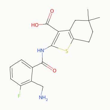 CC1(C)CCc2sc(NC(=O)c3cccc(F)c3CN)c(C(=O)O)c2C1